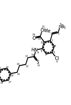 CCCCC=Cc1cc(Cl)cc(NC(=S)CCCCc2ccccc2)c1C(=O)OC